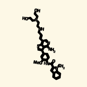 COc1cc(-c2csc3c(C=CCNCCN(CCO)CCO)cnc(N)c23)ccc1NC(=O)c1cc2ccccc2n1C